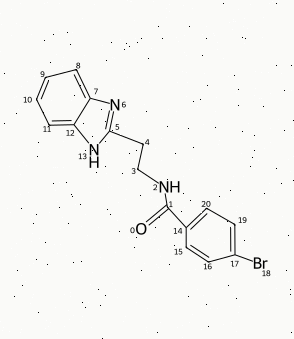 O=C(NCCc1nc2ccccc2[nH]1)c1ccc(Br)cc1